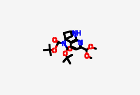 COC(OC)c1ccc2c(n1)NC1CC2(N(C(=O)OC(C)(C)C)C(=O)OC(C)(C)C)C1